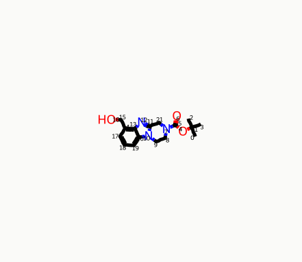 CC(C)(C)OC(=O)N1CCn2c(nc3c(CO)cccc32)C1